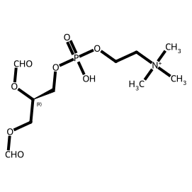 C[N+](C)(C)CCOP(=O)(O)OC[C@@H](COC=O)OC=O